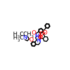 CC(C)(C)N1CCC(Oc2cccc3c2C(CN2C(=O)c4ccccc4C2=O)N(C(=O)C2CCCCC2C(=O)OCc2ccccc2)CC3)C1